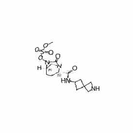 COS(=O)(=O)ON1C(=O)N2C[C@H]1CC[C@H]2C(=O)NC1CC2(CNC2)C1